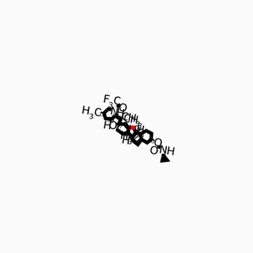 CC1=C2C[C@H]3[C@@H](CC=C4C[C@@H](OC(=O)NC5CC5)CC[C@@]43C)[C@@H]2CC[C@]12O[C@@H]1C[C@H](C)CN(C(=O)C(F)(F)F)[C@H]1[C@H]2C